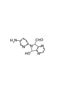 Nc1ccc(N2C(O)c3nccnc3C2C=O)nc1